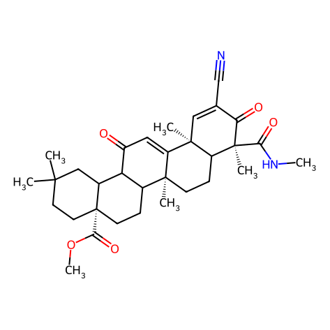 CNC(=O)[C@]1(C)C(=O)C(C#N)=C[C@]2(C)C3=CC(=O)C4C5CC(C)(C)CC[C@]5(C(=O)OC)CCC4[C@]3(C)CCC12